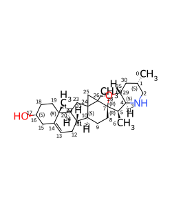 C[C@@H]1CN[C@H]2[C@@H](C)[C@@]3(CC[C@H]4[C@@H]5CC=C6C[C@@H](O)CC[C@]6(C)[C@H]5CC45CC53C)O[C@@H]2C1